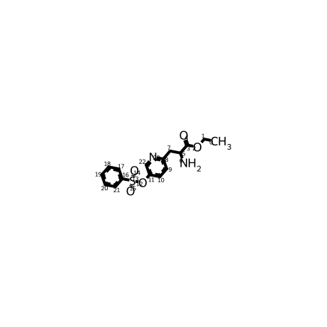 CCOC(=O)C(N)Cc1ccc(OS(=O)(=O)c2ccccc2)cn1